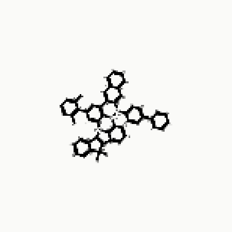 Cc1cccc(C)c1-c1cc2c3c(c1)-n1c4c(c5cccc(c51)B3N(c1ccc(-c3ccccc3)cc1)c1cc3ccccc3cc1-2)C(C)(C)c1ccccc1-4